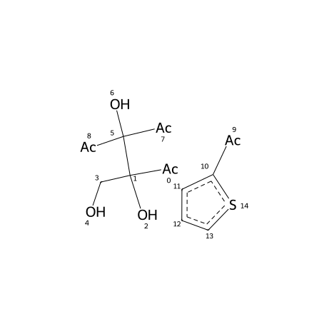 CC(=O)C(O)(CO)C(O)(C(C)=O)C(C)=O.CC(=O)c1cccs1